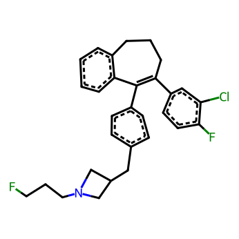 FCCCN1CC(Cc2ccc(C3=C(c4ccc(F)c(Cl)c4)CCCc4ccccc43)cc2)C1